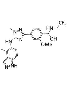 COc1cc(-c2nc(Nc3ccc4[nH]ncc4c3C)n(C)n2)ccc1C(O)NCC(F)(F)F